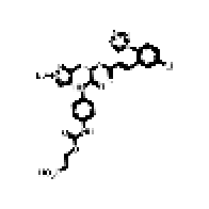 CCn1ccc(C[C@H](NC(=O)/C=C/c2cc(Cl)ccc2-n2cnnn2)C(=O)Nc2ccc(NC(=O)OCCC(=O)O)cc2)n1